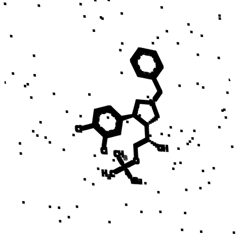 CC(C)(C)[Si](C)(C)OC[C@@H](O)[C@H]1CN(Cc2ccccc2)C[C@@H]1c1ccc(Cl)c(Cl)c1